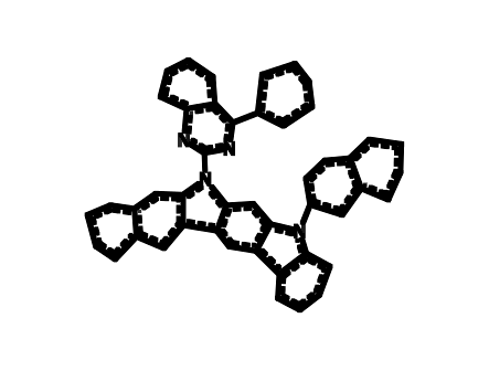 c1ccc(-c2nc(-n3c4cc5ccccc5cc4c4cc5c6ccccc6n(-c6ccc7ccccc7c6)c5cc43)nc3ccccc23)cc1